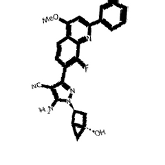 COc1cc(-c2ccccc2)nc2c(F)c(-c3nn([C@H]4C[C@@]5(O)CC45)c(N)c3C#N)ccc12